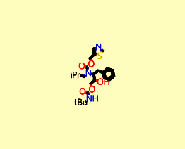 CC(C)CN(C(=O)OCc1cncs1)C(Cc1ccccc1)C(O)COC(=O)NC(C)(C)C